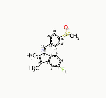 CC1=C(C)c2cc(F)ccc2/C1=C\c1ccc([S+](C)[O-])cc1